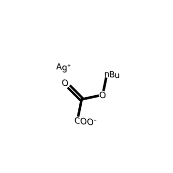 CCCCOC(=O)C(=O)[O-].[Ag+]